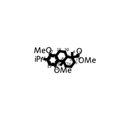 COC(=O)C1(C)CCCC2(C)c3c(OC)cc(C(C)C)c(OC)c3CCC12